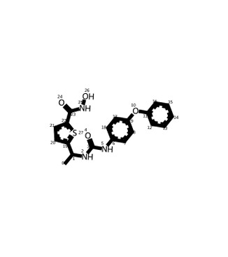 CC(NC(=O)Nc1ccc(Oc2ccccc2)cc1)c1ccc(C(=O)NO)s1